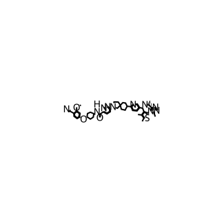 COc1cc(OC2CCC(NC(=O)c3ccc(N4CCC5(CCC(c6ccc(C7=N[C@@H](C)c8nnc(C)n8-c8sc(C)c(C)c87)cn6)CC5)C4)nn3)CC2)ccc1C#N